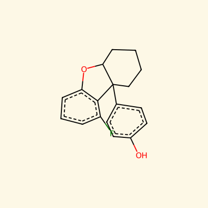 Oc1ccc(C23CCCCC2Oc2cccc(F)c23)cc1